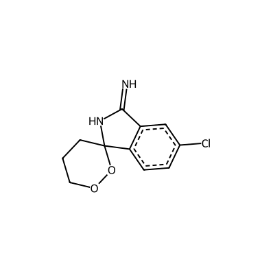 N=C1NC2(CCCOO2)c2ccc(Cl)cc21